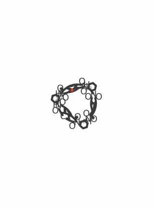 O=C1C2=CCC3C(=O)N4C(=O)c5ccc(c2c53)C(=O)N1C1CCCC[C@H]1N1C(=O)c2ccc3c5c(ccc(c25)C1=O)C(=O)N(C3=O)C1CCCC[C@H]1N1C(=O)c2ccc3c5c(ccc(c25)C1=O)C(=O)N(C3=O)[C@@H]1CCCC[C@H]14